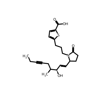 CCC#CCC(C)[C@H](O)/C=C/C1CCC(=O)N1CCCc1ccc(C(=O)O)s1